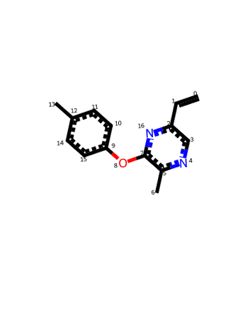 C=Cc1cnc(C)c(Oc2ccc(C)cc2)n1